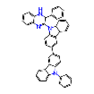 C1=CC2c3cc(-c4ccc5c(c4)c4ccccc4n5-c4ccccc4)ccc3N(C3=Nc4ccccc4NC3c3ccccc3)C2C=C1